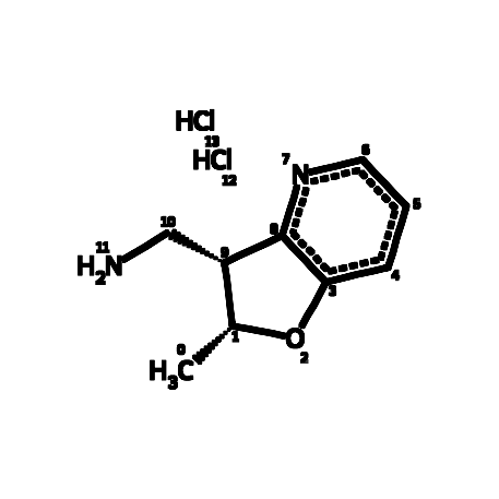 C[C@H]1Oc2cccnc2[C@H]1CN.Cl.Cl